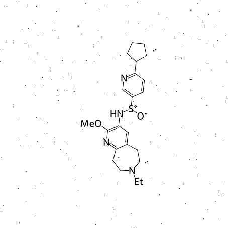 CCN1CCc2cc(N[S+]([O-])c3ccc(C4CCCC4)nc3)c(OC)nc2CC1